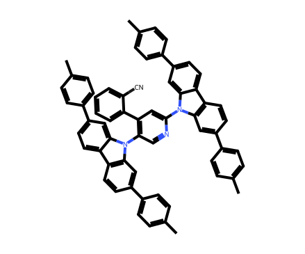 Cc1ccc(-c2ccc3c4ccc(-c5ccc(C)cc5)cc4n(-c4cc(-c5ccccc5C#N)c(-n5c6cc(-c7ccc(C)cc7)ccc6c6ccc(-c7ccc(C)cc7)cc65)cn4)c3c2)cc1